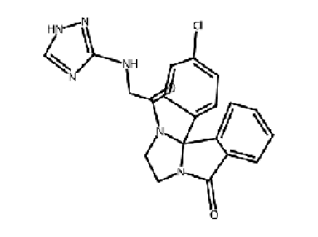 O=C(CNc1nc[nH]n1)N1CCN2C(=O)c3ccccc3C12c1ccc(Cl)cc1